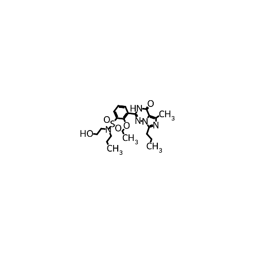 CCCc1nc(C)c2c(=O)[nH]c(-c3cccc(S(=O)(=O)N(CCC)CCO)c3OCC)nn12